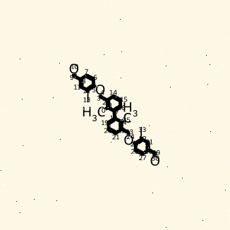 Cc1c(COc2ccc(C=O)cc2I)cccc1-c1cccc(COc2ccc(C=O)cc2I)c1C